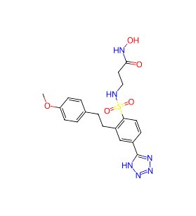 COc1ccc(CCc2cc(-c3nnn[nH]3)ccc2S(=O)(=O)NCCC(=O)NO)cc1